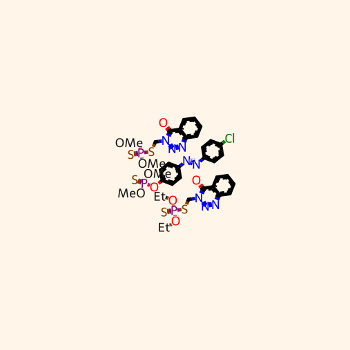 CCOP(=S)(OCC)SCn1nnc2ccccc2c1=O.COP(=S)(OC)Oc1ccc(/N=N/c2ccc(Cl)cc2)cc1.COP(=S)(OC)SCn1nnc2ccccc2c1=O